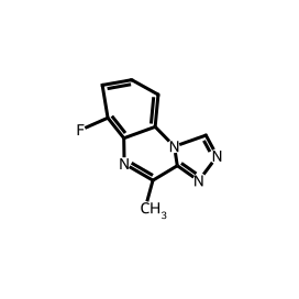 Cc1nc2c(F)cccc2n2cnnc12